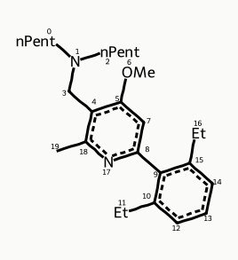 CCCCCN(CCCCC)Cc1c(OC)cc(-c2c(CC)cccc2CC)nc1C